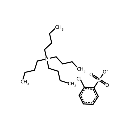 CCCC[P+](CCCC)(CCCC)CCCC.O=S(=O)([O-])c1ccccc1Cl